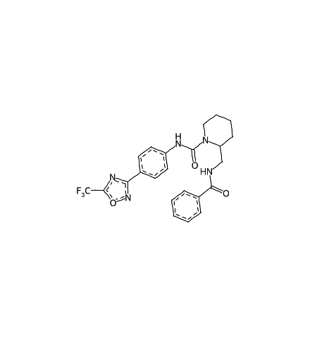 O=C(NCC1CCCCN1C(=O)Nc1ccc(-c2noc(C(F)(F)F)n2)cc1)c1ccccc1